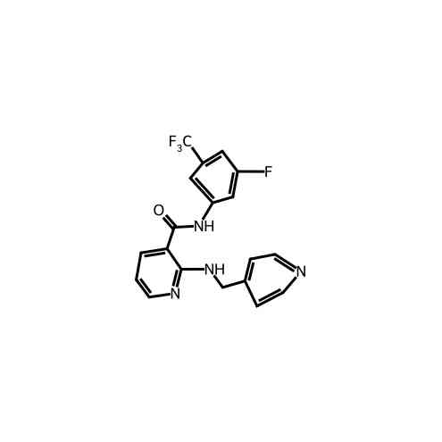 O=C(Nc1cc(F)cc(C(F)(F)F)c1)c1cccnc1NCc1ccncc1